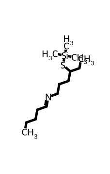 CCCCC=NCCCC(CC)S[Si](C)(C)C